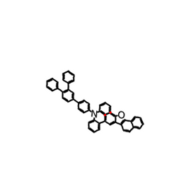 c1ccc(-c2ccc(-c3ccc(N(c4ccccc4)c4ccccc4-c4ccc5oc6c7ccccc7ccc6c5c4)cc3)cc2-c2ccccc2)cc1